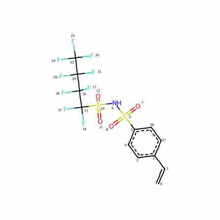 C=Cc1ccc(S(=O)(=O)NS(=O)(=O)C(F)(F)C(F)(F)C(F)(F)C(F)(F)F)cc1